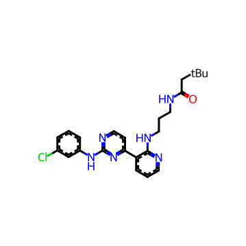 CC(C)(C)CC(=O)NCCCNc1ncccc1-c1ccnc(Nc2cccc(Cl)c2)n1